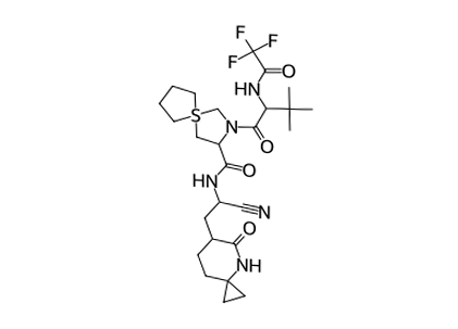 CC(C)(C)C(NC(=O)C(F)(F)F)C(=O)N1CS2(CCCC2)CC1C(=O)NC(C#N)CC1CCC2(CC2)NC1=O